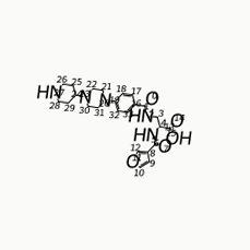 O=C(NCC(NC(=O)c1ccoc1)C(=O)O)c1ccc(N2CCN(C3CCNCC3)CC2)cc1